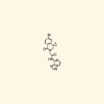 O=C(CN1CC2(CC2)c2cc(Br)ccc2C1=O)Nc1nccn2ncnc12